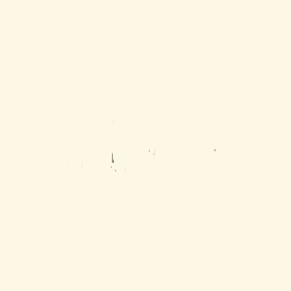 CCC(C)[C@H](N)C(=O)NCCO